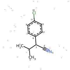 CC(C)C(C#N)c1ccc(Cl)cc1